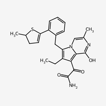 CCc1c(C(=O)C(N)=O)c2c(O)nc(C)cn2c1Cc1ccccc1C1=CCC(C)S1